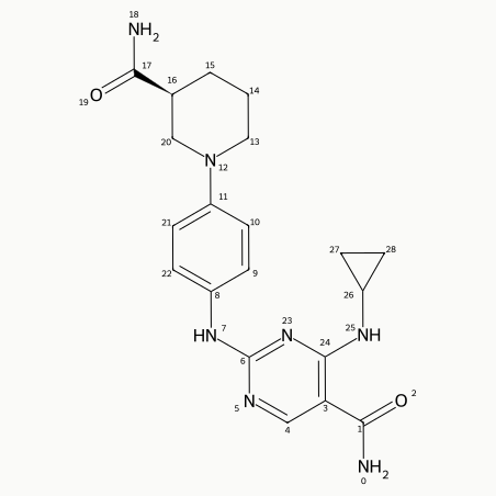 NC(=O)c1cnc(Nc2ccc(N3CCC[C@H](C(N)=O)C3)cc2)nc1NC1CC1